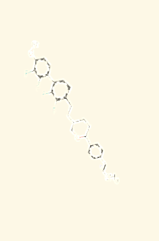 C/C=C/c1ccc(C2CCC(CCc3ccc(-c4ccc(OCC)c(F)c4F)c(F)c3F)CO2)cc1